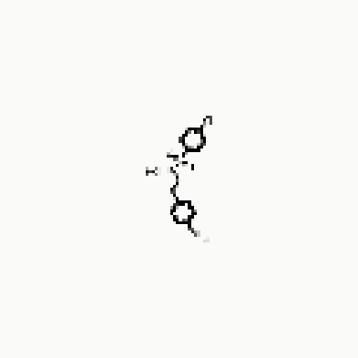 Cl.Nc1ccc(CCNS(=O)(=O)c2ccc(Cl)cc2)cc1